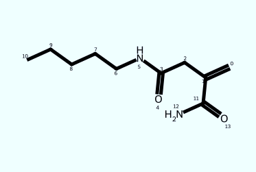 C=C(CC(=O)NCCCCC)C(N)=O